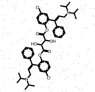 CC(C)N(CC=C(c1ccccc1)c1cc(Cl)ccc1OC(=O)C(O)C(O)C(=O)Oc1ccc(Cl)cc1C(=CCN(C(C)C)C(C)C)c1ccccc1)C(C)C